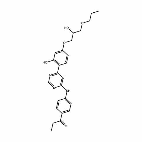 CCCOCC(O)COc1ccc(-c2ncnc(Nc3ccc(C(=O)CC)cc3)n2)c(O)c1